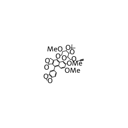 C#CCOCC1OC(Oc2c3c(c(-c4ccc5c(c4)OCO5)c4cc(OC)c(OC)cc24)C(=O)OC3)C(OC)C2OC(C)(C)OC12